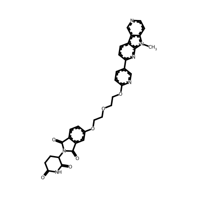 Cn1c2ccncc2c2ccc(-c3ccc(OCCOCCOc4ccc5c(c4)C(=O)N(C4CCC(=O)NC4=O)C5=O)nc3)nc21